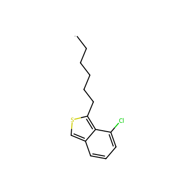 [CH2]CCCCCc1scc2cccc(Cl)c12